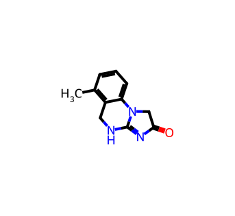 Cc1cccc2c1CNC1=NC(=O)CN12